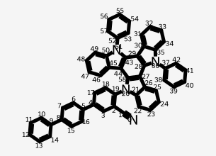 N#Cc1cc(-c2ccc(-c3ccccc3)cc2)ccc1-n1c2ccccc2c2c3c(c4ccccc4n3-c3ccccc3)c3c(c4ccccc4n3-c3ccccc3)c21